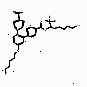 CCCCCCOc1ccc(-c2ccc(C(=O)O)cc2)c(-c2ccc(C(=O)OC(CCCCCC)C(F)(F)F)cc2)c1